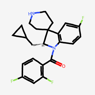 O=C(c1ccc(F)cc1F)N1c2ccc(F)cc2C2(CCNCC2)[C@H]1CC1CC1